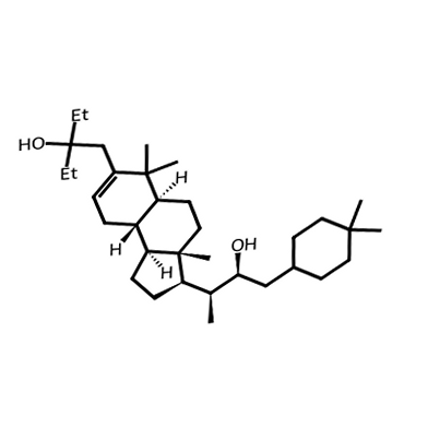 CCC(O)(CC)CC1=CC[C@@H]2[C@H](CC[C@]3(C)[C@@H]([C@H](C)[C@@H](O)CC4CCC(C)(C)CC4)CC[C@@H]23)C1(C)C